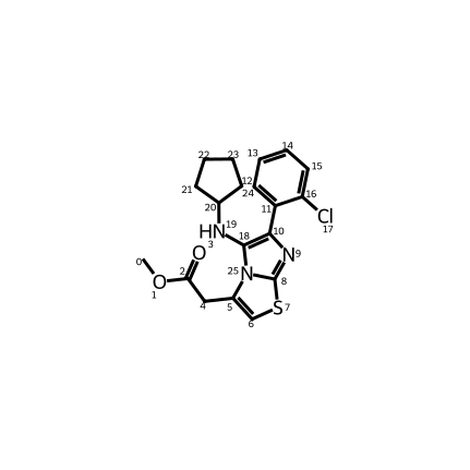 COC(=O)Cc1csc2nc(-c3ccccc3Cl)c(NC3CCCC3)n12